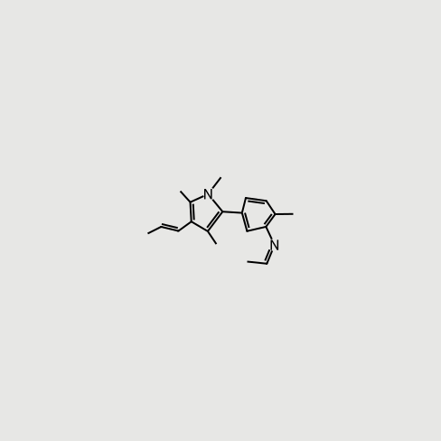 C/C=N\c1cc(-c2c(C)c(/C=C/C)c(C)n2C)ccc1C